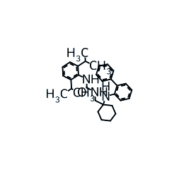 CC(C)c1cccc(C(C)C)c1NC(=O)NCC1(Nc2ccccc2-c2ccccc2)CCCCC1